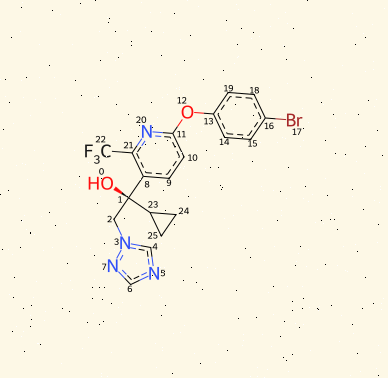 O[C@@](Cn1cncn1)(c1ccc(Oc2ccc(Br)cc2)nc1C(F)(F)F)C1CC1